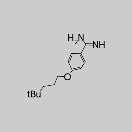 CC(C)(C)CCCOc1ccc(C(=N)N)cc1